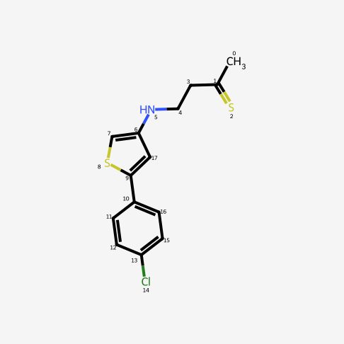 CC(=S)CCNc1csc(-c2ccc(Cl)cc2)c1